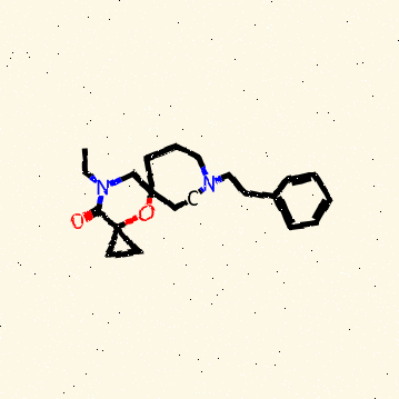 CCN1CC2(CCCN(CCc3ccccc3)CC2)OC2(CC2)C1=O